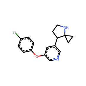 Clc1ccc(Oc2cncc(C3CCNC34CC4)c2)cc1